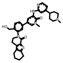 CN1CCC(c2ccnc(Nc3cc(-c4ccc(CO)c(N5CCc6c(sc7c6CCCC7)C5=O)c4)cn(C)c3=O)c2)CC1